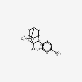 O=C(O)C12CC3C[C](CC(C3)C1[N+](=O)[O-])C2c1ccc([N+](=O)[O-])cc1